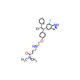 CCC(=C(c1ccc(OCCNCC=CC(=O)N(C)C)cc1)c1cc(F)c2[nH]ncc2c1)c1ccccc1